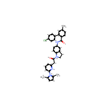 Cc1ccc(C(=O)Nc2ccc3c(c2)CCN3C(=O)Cc2cccc(-n3c(C)ccc3C)n2)c(-c2ccc(Cl)cc2)c1